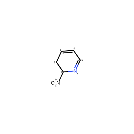 O=[N+]([O-])C1CC=CC=N1